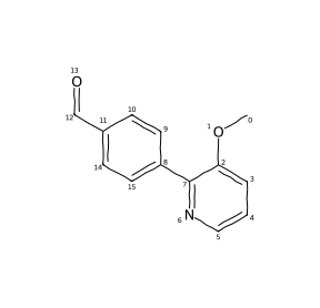 COc1cccnc1-c1ccc(C=O)cc1